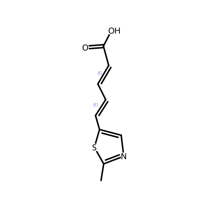 Cc1ncc(/C=C/C=C/C(=O)O)s1